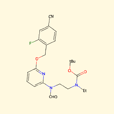 CCN(CCN(C=O)c1cccc(OCc2ccc(C#N)cc2F)n1)C(=O)OC(C)(C)C